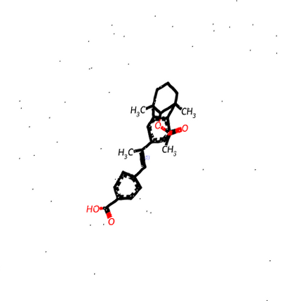 CC(=O)OC1C2(C)CCCC1(C)c1cc(/C(C)=C/c3ccc(C(=O)O)cc3)ccc12